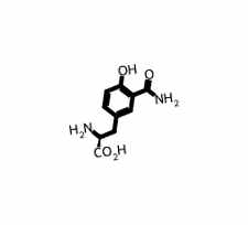 NC(=O)c1cc(C[C@H](N)C(=O)O)ccc1O